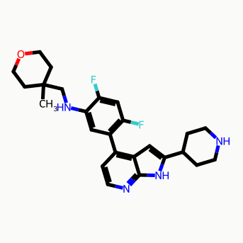 CC1(CNc2cc(-c3ccnc4[nH]c(C5CCNCC5)cc34)c(F)cc2F)CCOCC1